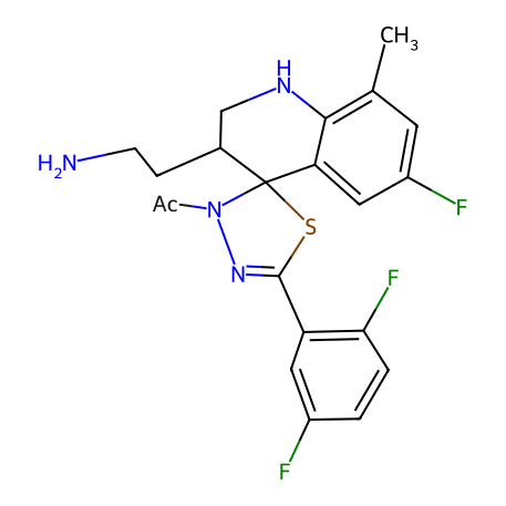 CC(=O)N1N=C(c2cc(F)ccc2F)SC12c1cc(F)cc(C)c1NCC2CCN